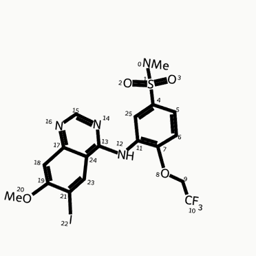 CNS(=O)(=O)c1ccc(OCC(F)(F)F)c(Nc2ncnc3cc(OC)c(I)cc23)c1